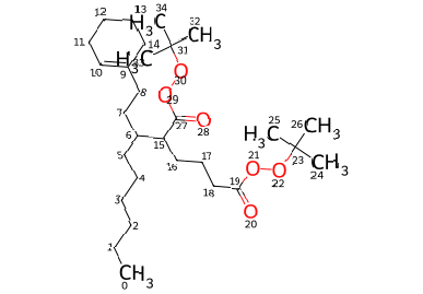 CCCCCCC(CCC1=CCCCC1)C(CCCC(=O)OOC(C)(C)C)C(=O)OOC(C)(C)C